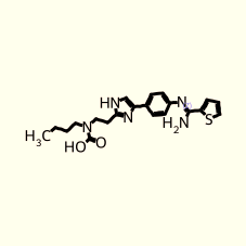 CCCCN(CCc1nc(-c2ccc(/N=C(\N)c3cccs3)cc2)c[nH]1)C(=O)O